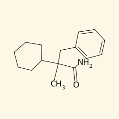 CC(Cc1ccccc1)(C(N)=O)C1CCCCC1